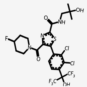 CC(C)(O)CNC(=O)c1nc(C(=O)N2CCC(F)CC2)c(-c2ccc(C(O)(C(F)(F)F)C(F)(F)F)c(Cl)c2Cl)s1